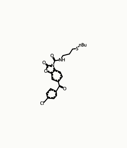 CCCCSCCCNC(=O)n1c(=O)oc2cc(C(=O)c3ccc(Cl)cc3)ccc21